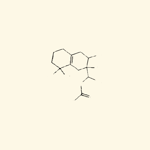 CC(=O)OC(C)C1(C)CC2=C(CCCC2(C)C)CC1C